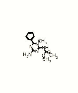 COC(NC1=NC(N)=NC(c2ccccc2)N1C)OC